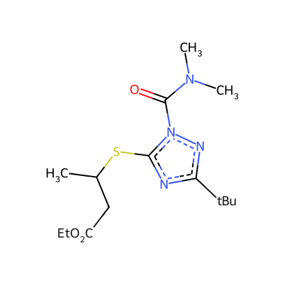 CCOC(=O)CC(C)Sc1nc(C(C)(C)C)nn1C(=O)N(C)C